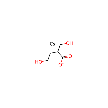 O=C([O-])C(CO)CCO.[Cs+]